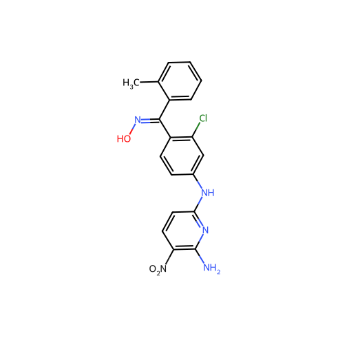 Cc1ccccc1C(=NO)c1ccc(Nc2ccc([N+](=O)[O-])c(N)n2)cc1Cl